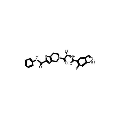 CC[C@@H](NC(=O)c1cc2cn[nH]c2cc1F)C(=O)N1CCc2sc(C(=O)Nc3ccccc3)cc2C1